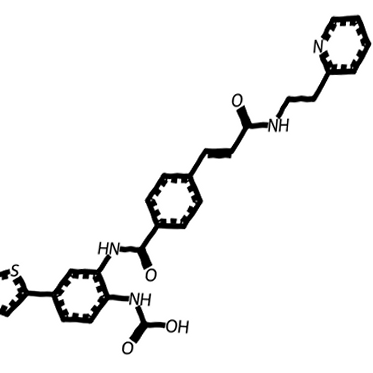 O=C(O)Nc1ccc(-c2cccs2)cc1NC(=O)c1ccc(C=CC(=O)NCCc2ccccn2)cc1